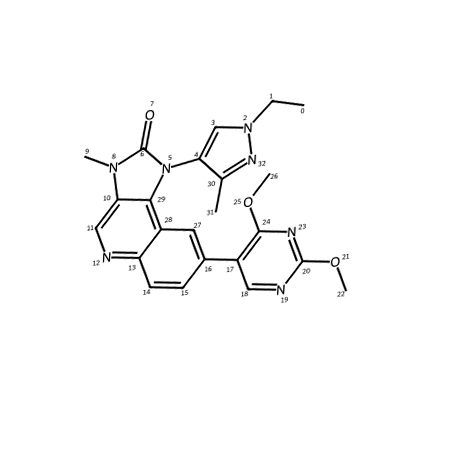 CCn1cc(-n2c(=O)n(C)c3cnc4ccc(-c5cnc(OC)nc5OC)cc4c32)c(C)n1